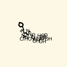 CN(Cc1ccccc1)c1nc(Cl)nc2c1ncn2[C@@H]1O[C@H](CNP(=O)(O)CP(=O)(O)O)C(O)C1O